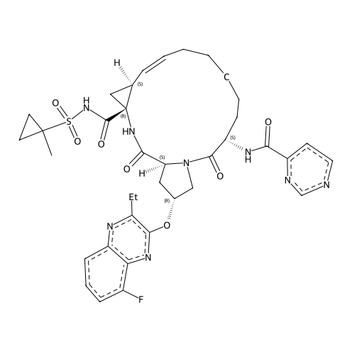 CCc1nc2cccc(F)c2nc1O[C@@H]1C[C@H]2C(=O)N[C@]3(C(=O)NS(=O)(=O)C4(C)CC4)C[C@H]3C=CCCCCC[C@H](NC(=O)c3ccncn3)C(=O)N2C1